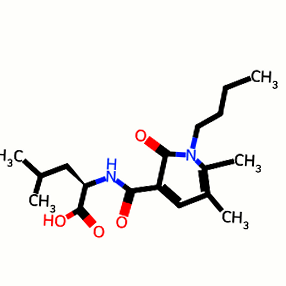 CCCCn1c(C)c(C)cc(C(=O)N[C@H](CC(C)C)C(=O)O)c1=O